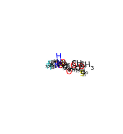 COc1cc(OC)c(-c2cccs2)cc1C=CC(=O)c1ccc(S(=O)(=O)Nc2ccc(C(F)(F)F)cn2)cc1